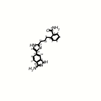 NC(=O)c1ccccc1C[CH]Cc1nc(-c2ccc3c(N)n[nH]c3c2)c[nH]1